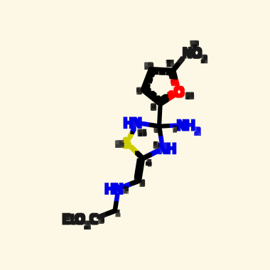 CCOC(=O)CNC=C1NC(N)(c2ccc([N+](=O)[O-])o2)NS1